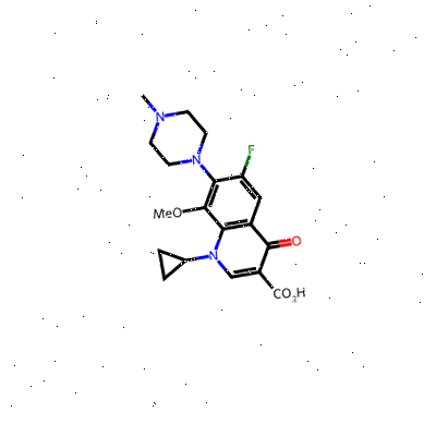 COc1c(N2CCN(C)CC2)c(F)cc2c(=O)c(C(=O)O)cn(C3CC3)c12